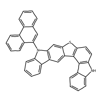 c1ccc2c(c1)cc(-n1c3ccccc3c3cc4c(cc31)sc1ccc3[nH]c5ccccc5c3c14)c1ccccc12